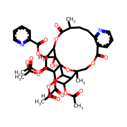 CC(=O)OCC12C(OC(C)=O)C(OC(C)=O)C3C(OC(C)=O)C14OC3(C)COC(=O)c1cccnc1CCC(C)C(=O)OC(C(OC(=O)c1ccccn1)C2OC(C)=O)C4(C)O